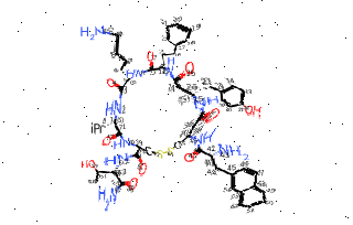 CC(C)[C@@H]1NC(=O)[C@H](CCCCN)NC(=O)[C@@H](CCc2ccccc2)NC(=O)[C@H](Cc2ccc(O)cc2)NC(=O)[C@@H](NC(=O)[C@H](N)Cc2ccc3ccccc3c2)CSSC[C@@H](C(=O)N[C@H](C(N)=O)C(C)O)NC1=O